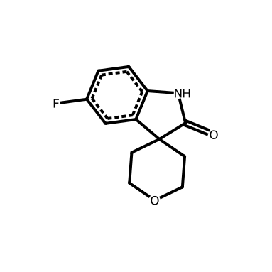 O=C1Nc2ccc(F)cc2C12CCOCC2